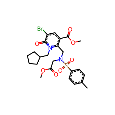 COC(=O)CN(Cc1c(C(=O)OC)cc(Br)c(=O)n1CC1CCCC1)S(=O)(=O)c1ccc(C)cc1